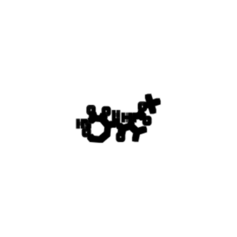 CC(C)C(NC(=O)OC(C)(C)C)C(=O)NC1CCCONC(=O)C1=O